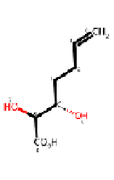 C=CCC[C@H](O)C(O)C(=O)O